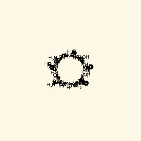 CCCC[C@H]1C(=O)N(C)[C@@H](CCCC)C(=O)N[C@@H](CC(C)C)C(=O)N[C@H](C(=O)NCC(N)=O)CNCC(=O)N[C@@H](Cc2ccc(O)cc2)C(=O)N(C)[C@@H](C)C(=O)N[C@@H](CC(N)=O)C(=O)N2CCC[C@H]2C(=O)N[C@@H](Cc2cnc[nH]2)C(=O)N[C@@H](CC(C)C)C(=O)N2C[C@H](O)C[C@H]2C(=O)N[C@@H](Cc2c[nH]c3ccccc23)C(=O)NCC(=O)N[C@@H](Cc2c[nH]c3ccccc23)C(=O)N1C